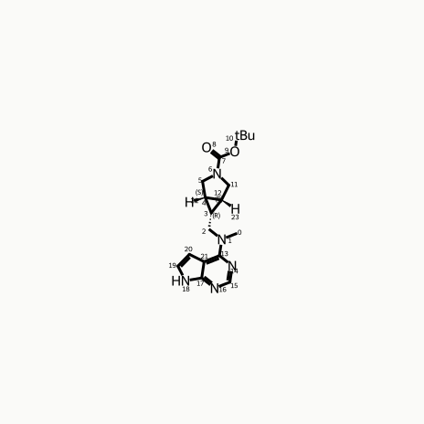 CN(C[C@@H]1[C@@H]2CN(C(=O)OC(C)(C)C)C[C@@H]21)c1ncnc2[nH]ccc12